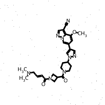 COc1cc(-c2cnn(C3CCN(C(=O)C4CN(C(=O)/C=C/CN(C)C)C4)CC3)c2)cn2ncc(C#N)c12